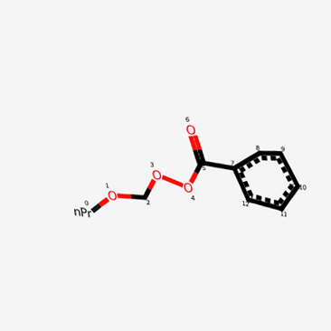 CCCOCOOC(=O)c1ccccc1